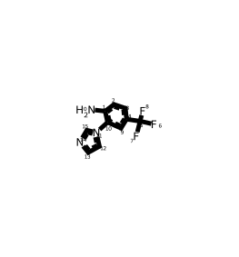 Nc1ccc(C(F)(F)F)cc1-n1ccnc1